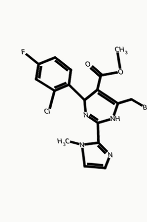 COC(=O)C1=C(CBr)NC(c2nccn2C)=NC1c1ccc(F)cc1Cl